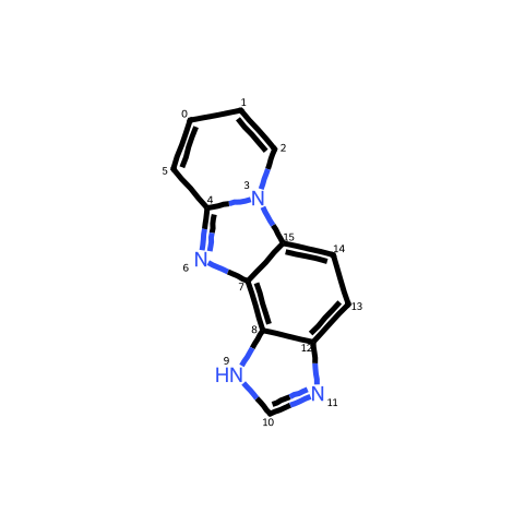 c1ccn2c(c1)nc1c3[nH]cnc3ccc12